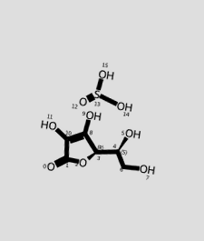 O=C1O[C@H]([C@@H](O)CO)C(O)=C1O.O=S(O)O